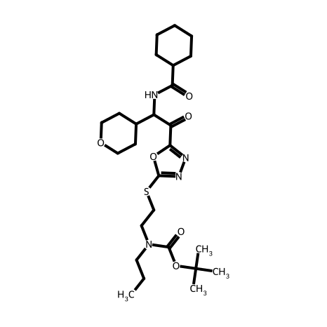 CCCN(CCSc1nnc(C(=O)C(NC(=O)C2CCCCC2)C2CCOCC2)o1)C(=O)OC(C)(C)C